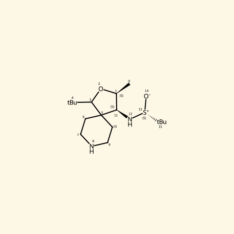 C[C@@H]1OC(C(C)(C)C)C2(CCNCC2)[C@@H]1N[S@+]([O-])C(C)(C)C